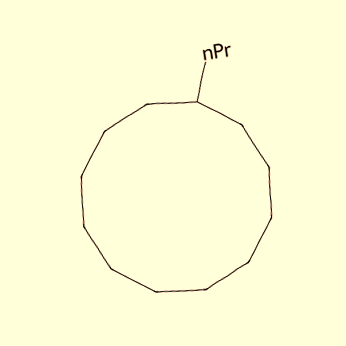 [CH2]CCC1CCCCCCCCCCC1